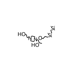 CC(O)C(OCCC[Si](C)(C)CC[Si](C)(C)C)N1CCN(CCO)CC1